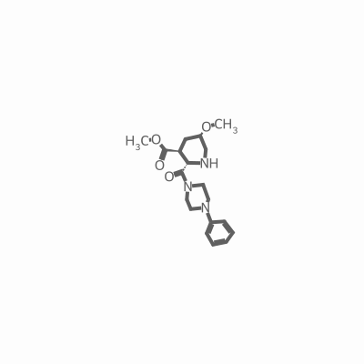 COC(=O)[C@H]1C[C@H](OC)CN[C@@H]1C(=O)N1CCN(c2ccccc2)CC1